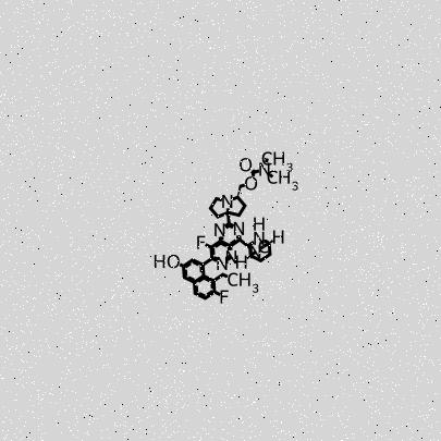 CCc1c(F)ccc2cc(O)cc(-c3nnc4c(N5C[C@H]6CC[C@@H]5CN6)nc(C56CCCN5[C@@H](COC(=O)N(C)C)CC6)nc4c3F)c12